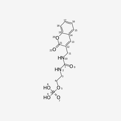 O=C(NCCOP(=O)(O)O)NCc1cc2ccccc2oc1=O